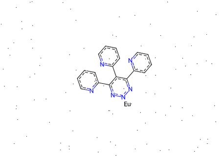 [Eu].c1ccc(-c2nnnc(-c3ccccn3)c2-c2ccccn2)nc1